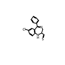 S=CC1CN=C(c2ccccc2)c2cc(Cl)ccc2N1